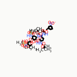 CN([C@@H]1[C@@H](O)[C@@H](O[C@@H]2[C@@H](O)[C@H](O[C@H]3OC(CNC(=O)OCc4cccc([N+](=O)[O-])c4)=CC[C@H]3NC(=O)OC(C)(C)C)[C@@H](NC(=O)OC(C)(C)C)C[C@H]2NS(C)(=O)=O)OC[C@]1(C)O)S(C)(=O)=O